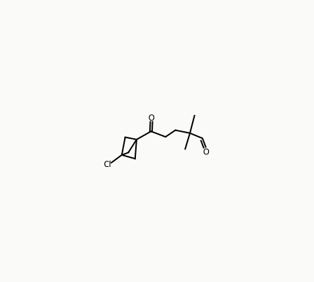 CC(C)(C=O)CCC(=O)C12CC(Cl)(C1)C2